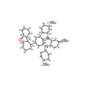 CC(C)(C)c1ccc(N2c3ccc(C(C)(C)C)cc3B3c4cc(C(C)(C)C)ccc4-c4cc(-c5cccc6oc7ccccc7c56)cc2c43)cc1